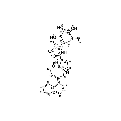 CSC1O[C@H]([C@H](NC(=O)[C@H]2NC[C@@H]3CC(c4cccc5cnccc45)=CCO[C@H]32)[C@H](C)Cl)C(O)[C@@H](O)[C@H]1O